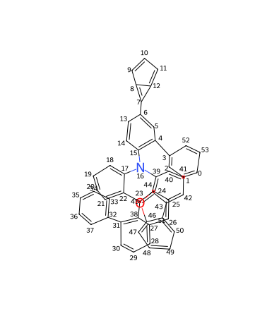 c1ccc(-c2cc(-c3c4cccc3-4)ccc2N(c2ccccc2-c2cccc3cccc(-c4ccccc4)c23)c2cccc3c2oc2ccccc23)cc1